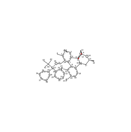 Cc1ncc(C=O)c(-c2c(N3C[C@@H](C)O[C@@H](C)C3)ccc(F)c2F)c1CO[Si](c1ccccc1)(c1ccccc1)C(C)(C)C